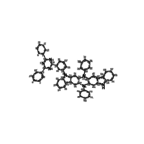 c1ccc(-c2nc(-c3ccccc3)nc(-c3cccc(-n4c5ccccc5c5cc6c(cc54)N(c4ccccc4)c4cc5c(cc4N6c4ccccc4)[nH]c4ccccc45)c3)n2)cc1